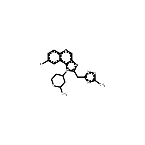 Cc1nc(Cc2nc3cnc4ccc(Cl)cc4c3n2C2CCOC(C)C2)no1